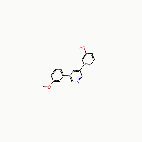 COc1cccc(-c2cncc(-c3cccc(O)c3)c2)c1